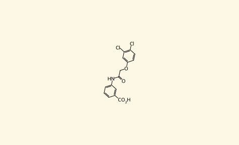 O=C(COc1ccc(Cl)c(Cl)c1)Nc1cccc(C(=O)O)c1